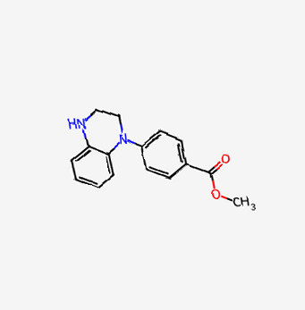 COC(=O)c1ccc(N2CCNc3ccccc32)cc1